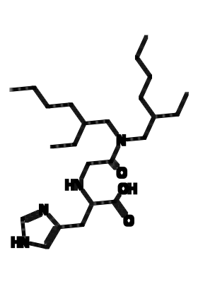 CCCCC(CC)CN(CC(CC)CCCC)C(=O)CNC(Cc1c[nH]cn1)C(=O)O